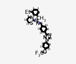 CCc1cccc(C)c1N1CCCS/C1=N\N=C\c1ccc(-c2ncn(-c3ccc(OC(F)(F)F)cc3)n2)cc1